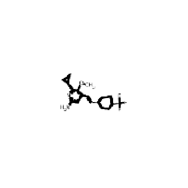 COc1c(/C=C/[C@H]2CC[C@H](C(F)(F)F)CC2)cc(N)nc1C1CC1